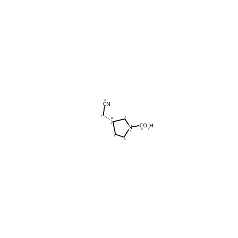 N#CC[C@H]1CCN(C(=O)O)C1